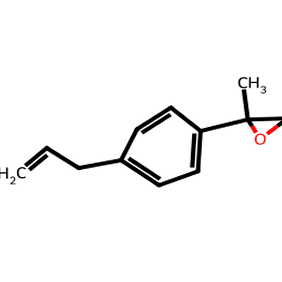 C=CCc1ccc(C2(C)CO2)cc1